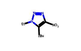 CCCCc1c([N+](=O)[O-])nnn1CC